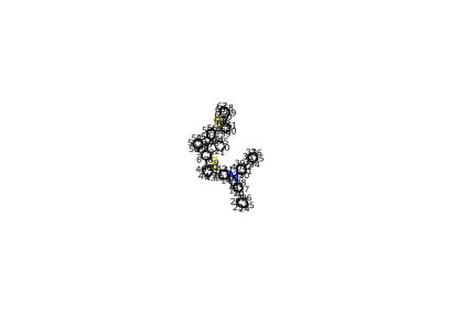 C1=CC2c3c(ccc4c3sc3c(-c5ccc(N(c6ccc(-c7ccccc7)cc6)c6ccc(-c7ccccc7)cc6)cc5)cccc34)C3(c4ccccc4-c4ccc(-c5cccc6c5sc5ccccc56)cc43)C2C=C1